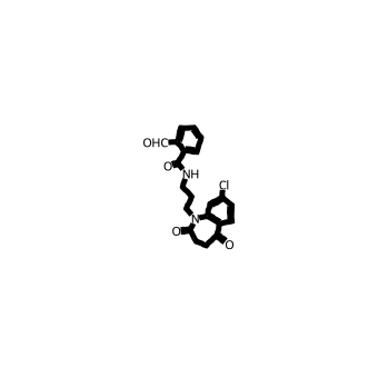 O=Cc1ccccc1C(=O)NCCCN1C(=O)CCC(=O)c2ccc(Cl)cc21